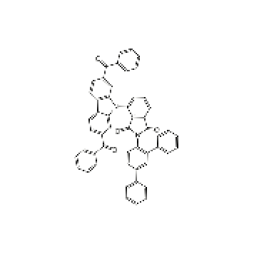 O=C(c1ccccc1)c1ccc2c3ccc(C(=O)c4ccccc4)cc3n(-c3cccc4c3C(=O)N(c3ccc(-c5ccccc5)cc3-c3ccccc3)C4=O)c2c1